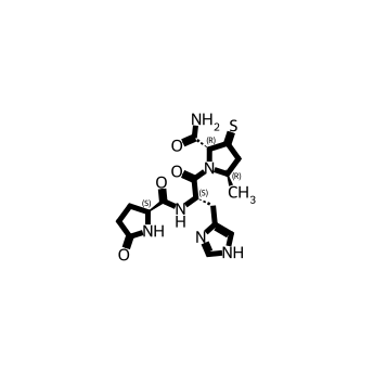 C[C@@H]1CC(=S)[C@@H](C(N)=O)N1C(=O)[C@H](Cc1c[nH]cn1)NC(=O)[C@@H]1CCC(=O)N1